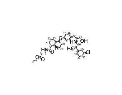 CCOC(=O)CCNC(=O)c1cccc2c(Oc3ccc(C[C@@H](CO)NC[C@H](O)c4cccc(Cl)c4)cc3)ccnc12